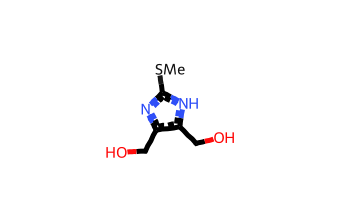 CSc1nc(CO)c(CO)[nH]1